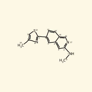 CNc1cc2cc(-c3nc(C)cs3)ccc2cn1